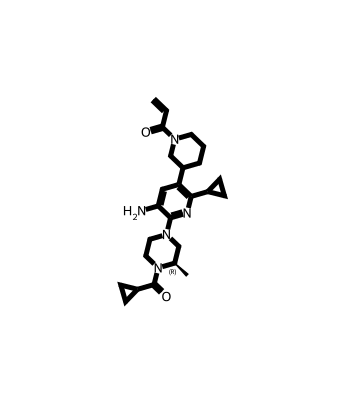 C=CC(=O)N1CCCC(c2cc(N)c(N3CCN(C(=O)C4CC4)[C@H](C)C3)nc2C2CC2)C1